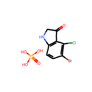 O=C1CNc2ccc(Br)c(Cl)c21.O=P(O)(O)O